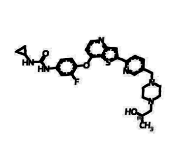 C[C@@H](O)CN1CCN(Cc2ccc(-c3cc4nccc(Oc5ccc(NC(=O)NC6CC6)cc5F)c4s3)nc2)CC1